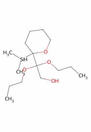 CCCOC(CO)(OCCC)C1([SiH](C)C)CCCCO1